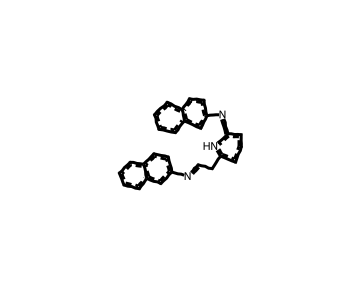 C(Cc1cccc(=Nc2ccc3ccccc3c2)[nH]1)=Nc1ccc2ccccc2c1